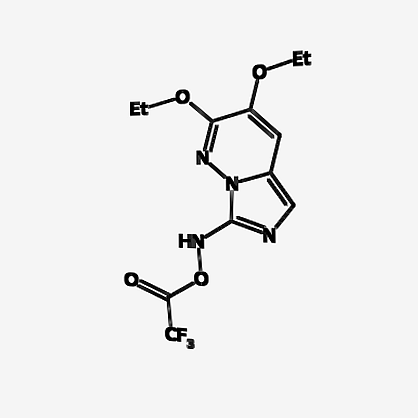 CCOc1cc2cnc(NOC(=O)C(F)(F)F)n2nc1OCC